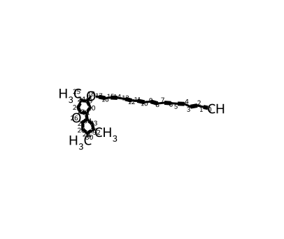 C#CC#CC#CC#CC#CC#CC#CC#CC#COc1cc2c(cc1C)oc1cc(C)c(C)cc12